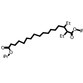 CCC(CCCCCCCCCCCCCC(=O)OC(C)C)C(CC)C(=O)OC(C)C